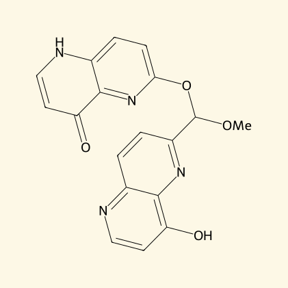 COC(Oc1ccc2[nH]ccc(=O)c2n1)c1ccc2nccc(O)c2n1